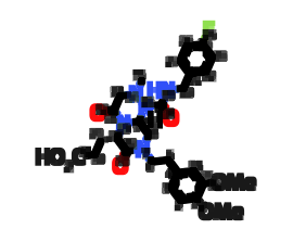 COc1ccc(CCN2C[C@H]3N(C(=O)CN(C)N3C(=O)NCc3ccc(F)cc3)[C@@H](CCC(=O)O)C2=O)cc1OC